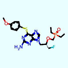 CCP(=O)(CC)CO[C@H](CF)Cn1cnc2c(Sc3ccc(OC)cc3)nc(N)nc21